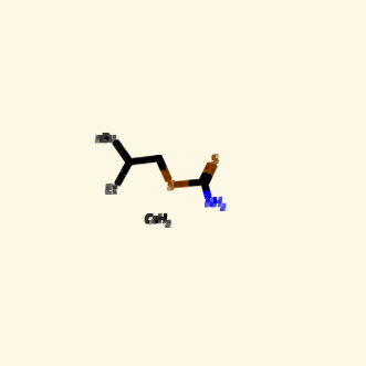 CCCCC(CC)CSC(N)=S.[CaH2]